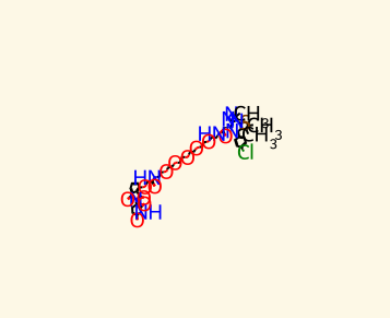 Cc1sc2c(c1C)C(c1ccc(Cl)cc1)=N[C@@H](CC(=O)NCCOCCOCCOCCOCCOCCNC(=O)COc1cccc3c1C(=O)N(C1CCC(=O)NC1=O)C3=O)c1nnc(C)n1-2